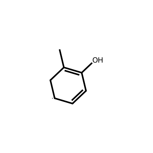 CC1=C(O)C=C[CH]C1